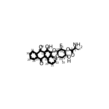 C[C@H](N)C(=O)O[C@@H]1[C@H](O)[C@H](C)O[C@@H](Oc2c(O)c3c(c4cccnc24)C(=O)c2ccccc2C3=O)[C@@H]1F